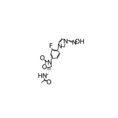 CC(=O)NC[C@H]1CN(c2ccc(N3C=CN(C=NO)C3)c(F)c2)C(=O)O1